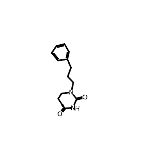 O=C1CCN(CCCc2ccccc2)C(=O)N1